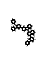 c1ccc(-n2c3ccccc3c3cc(-c4ccc5c(c4)c4ccccc4n5-c4ccc(-c5cccc6c5sc5ccccc56)c5ccccc45)ccc32)cc1